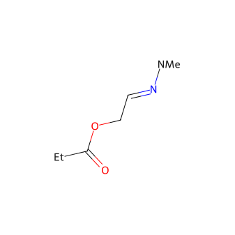 CCC(=O)OCC=NNC